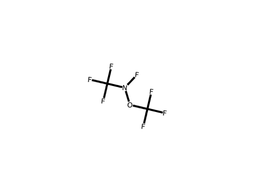 FN(OC(F)(F)F)C(F)(F)F